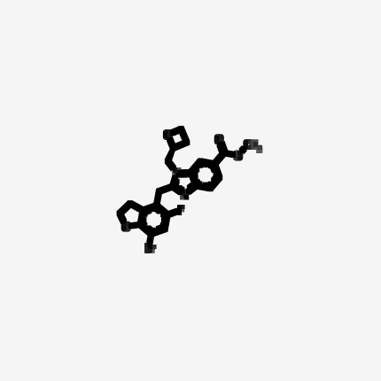 COC(=O)c1ccc2nc(Cc3c(F)cc(Br)c4c3CCO4)n(C[C@@H]3CCO3)c2c1